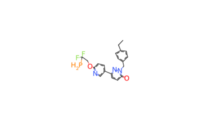 CCc1ccc(Cn2nc(-c3ccc(OCC(F)(F)P)nc3)ccc2=O)cc1